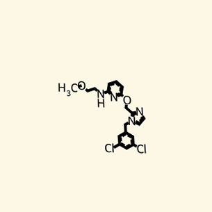 COCCNc1cccc(OCc2nccn2Cc2cc(Cl)cc(Cl)c2)n1